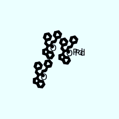 O=C(C=Cc1ccccc1)C(=Cc1ccccc1)C1C=Cc2ccccc21.O=C(C=Cc1ccccc1)C(=Cc1ccccc1)C1C=Cc2ccccc21.O=C(C=Cc1ccccc1)C(=Cc1ccccc1)C1C=Cc2ccccc21.[Pd].[Pd]